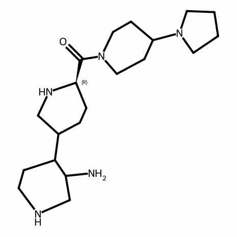 NC1CNCCC1C1CC[C@H](C(=O)N2CCC(N3CCCC3)CC2)NC1